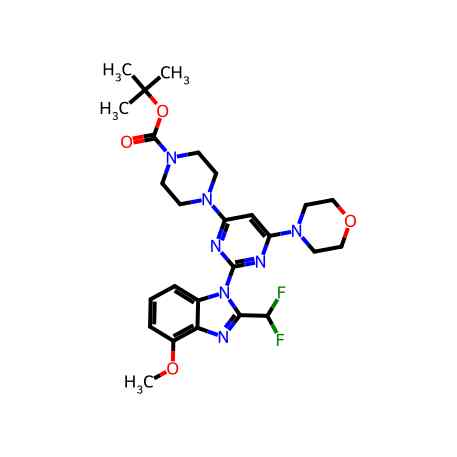 COc1cccc2c1nc(C(F)F)n2-c1nc(N2CCOCC2)cc(N2CCN(C(=O)OC(C)(C)C)CC2)n1